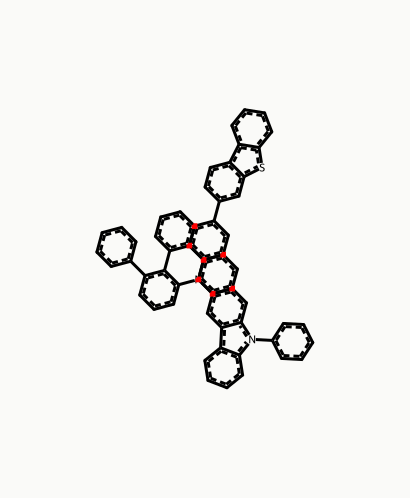 c1ccc(-c2ccccc2-c2c(-c3ccccc3)cccc2N(c2ccc(-c3ccc4c(c3)sc3ccccc34)cc2)c2ccc3c(c2)c2ccccc2n3-c2ccccc2)cc1